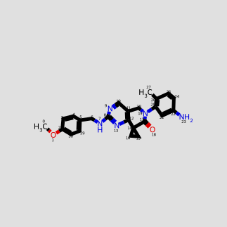 COc1ccc(CNc2ncc3c(n2)C2(CC2)C(=O)N(c2cc(N)ccc2C)C3)cc1